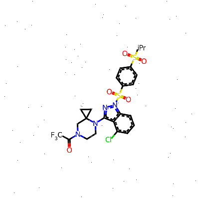 CC(C)S(=O)(=O)c1ccc(S(=O)(=O)n2nc(N3CCN(C(=O)C(F)(F)F)CC34CC4)c3c(Cl)cccc32)cc1